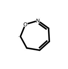 [CH]1CC=CC=NO1